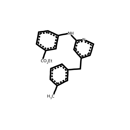 CCOC(=O)c1cccc(Nc2cc(Cc3cccc(C)c3)ccn2)c1